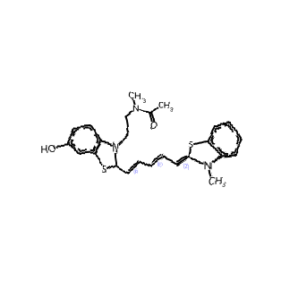 CC(=O)N(C)CCN1c2ccc(O)cc2SC1/C=C/C=C/C=C1\Sc2ccccc2N1C